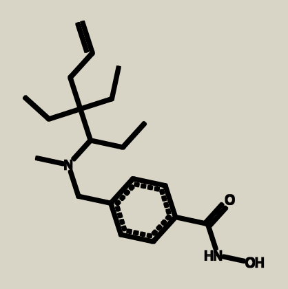 C=CCC(CC)(CC)C(CC)N(C)Cc1ccc(C(=O)NO)cc1